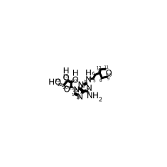 Nc1nc(NCCC2CCOCC2)nc2c1ncn2[C@@H]1O[C@H](CO)C(O)C1O